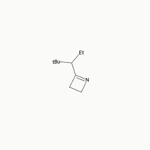 CCC(C1=NCC1)C(C)(C)C